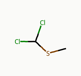 CSC(Cl)Cl